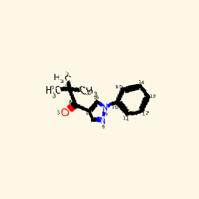 CC(C)(C)C(=O)c1cnn(-c2ccccc2)c1